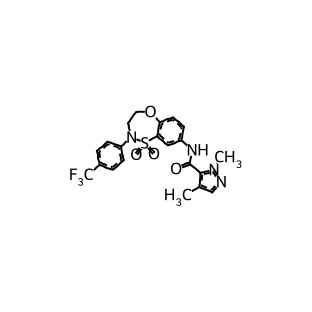 Cc1cnn(C)c1C(=O)Nc1ccc2c(c1)S(=O)(=O)N(c1ccc(C(F)(F)F)cc1)CCO2